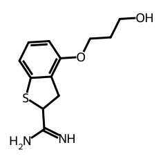 N=C(N)C1Cc2c(OCCCO)cccc2S1